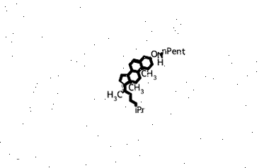 CCCCCNOC1CC[C@@]2(C)C(=CCC3C2CC[C@@]2(C)C3CC[C@@H]2[C@H](C)CCCC(C)C)C1